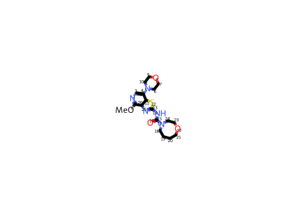 COC1=NC=C(N2CCOCC2)C2SC(NC(=O)N3CCCCOCC3)=NC12